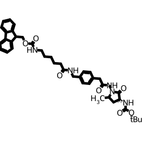 CC1C[C@@H](NC(=O)OC(C)(C)C)C(=O)N1NC(=O)Cc1ccc(CNC(=O)CCCCCNC(=O)OCC2c3ccccc3-c3ccccc32)cc1